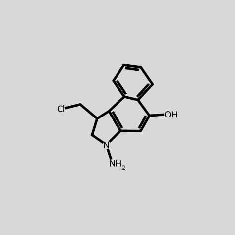 NN1CC(CCl)c2c1cc(O)c1ccccc21